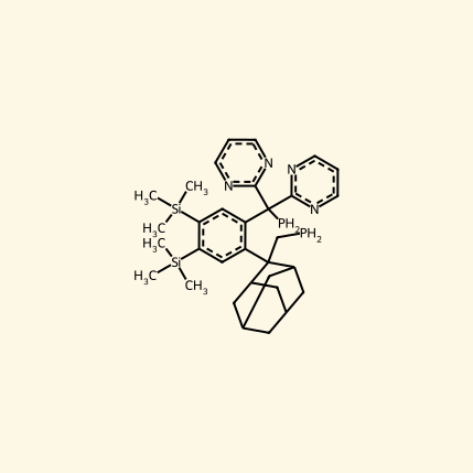 C[Si](C)(C)c1cc(C(P)(c2ncccn2)c2ncccn2)c(C2(CP)C3CC4CC(C3)CC2C4)cc1[Si](C)(C)C